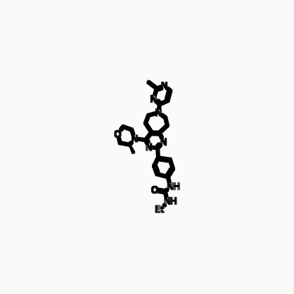 CCNC(=O)Nc1ccc(-c2nc3c(c(N4CCOC[C@@H]4C)n2)CCN(c2ccnc(C)n2)CC3)cc1